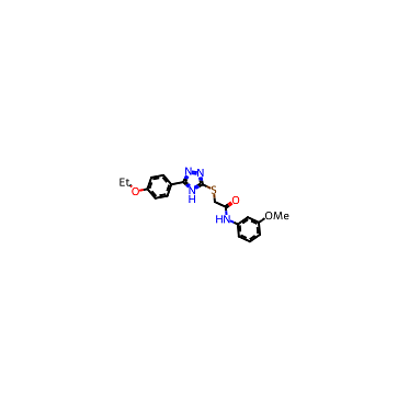 CCOc1ccc(-c2nnc(SCC(=O)Nc3cccc(OC)c3)[nH]2)cc1